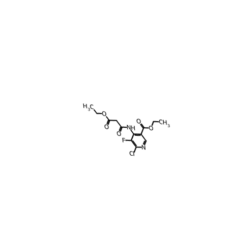 CCOC(=O)CC(=O)Nc1c(C(=O)OCC)cnc(Cl)c1F